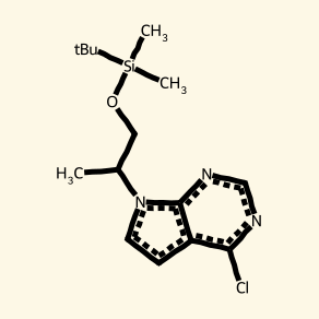 CC(CO[Si](C)(C)C(C)(C)C)n1ccc2c(Cl)ncnc21